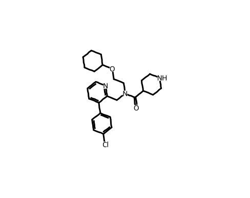 O=C(C1CCNCC1)N(CCOC1CCCCC1)Cc1ncccc1-c1ccc(Cl)cc1